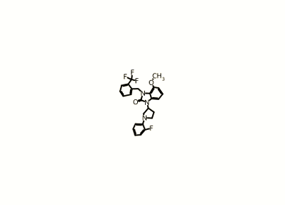 COc1cccc2c1n(Cc1ccccc1C(F)(F)F)c(=O)n2C1CCN(c2ccccc2F)C1